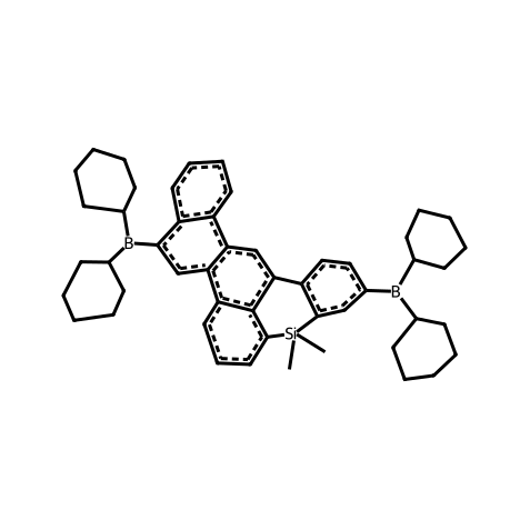 C[Si]1(C)c2cc(B(C3CCCCC3)C3CCCCC3)ccc2-c2cc3c4ccccc4c(B(C4CCCCC4)C4CCCCC4)cc3c3cccc1c23